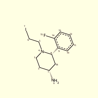 N[C@@H]1CCN(CCI)[C@H](c2ccccc2F)C1